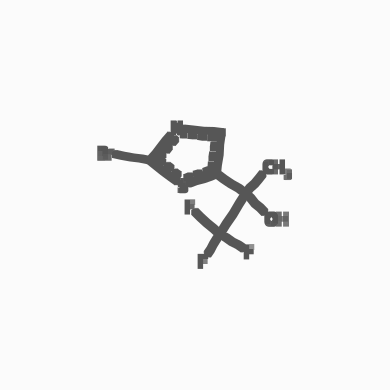 CC(O)(c1cnc(Br)s1)C(F)(F)F